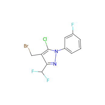 Fc1cccc(-n2nc(C(F)F)c(CBr)c2Cl)c1